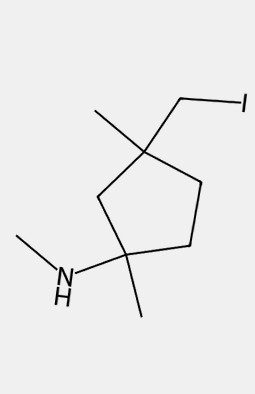 CNC1(C)CCC(C)(CI)C1